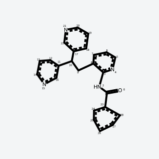 O=C(Nc1ncccc1CC(c1cccnc1)c1cccnc1)c1ccccc1